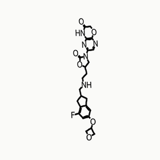 O=C1COc2ncc(N3CC(CCNCC4Cc5cc(OC6COC6)cc(F)c5C4)OC3=O)nc2N1